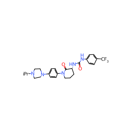 CC(C)N1CCN(c2ccc(N3CCC[C@@H](NC(=O)Nc4ccc(C(F)(F)F)cc4)C3=O)cc2)CC1